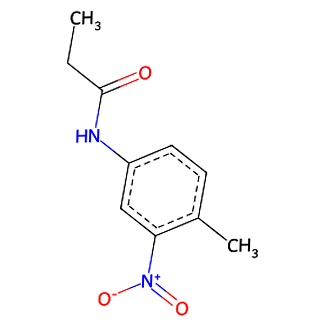 CCC(=O)Nc1ccc(C)c([N+](=O)[O-])c1